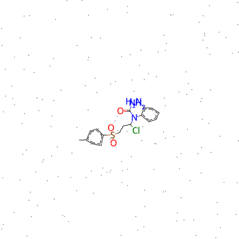 Cc1ccc(S(=O)(=O)CCC(Cl)N(C(N)=O)c2ccccc2N)cc1